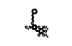 CN1C(=O)C(=Cc2ccc(OCCCCC3CCCCC3)c([N+](=O)[O-])c2)C(=O)N(C)C1=O